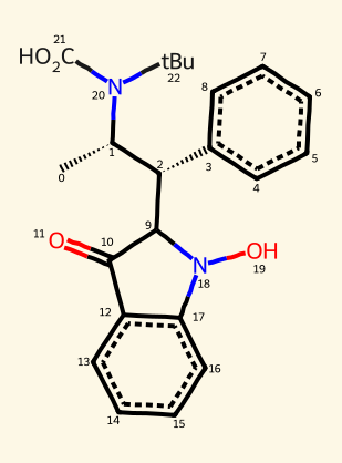 C[C@@H]([C@H](c1ccccc1)C1C(=O)c2ccccc2N1O)N(C(=O)O)C(C)(C)C